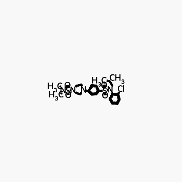 CC(C)CN(c1ccccc1Cl)S(=O)(=O)c1ccc(N2CCN(S(=O)(=O)N(C)C)CC2)cc1